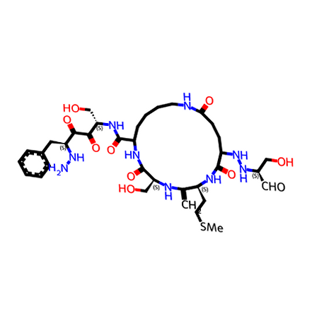 C=C1N[C@@H](CO)C(=O)NC(C(=O)N[C@@H](CO)C(=O)C(=O)[C@H](Cc2ccccc2)NN)CCCCNC(=O)CCC(NN[C@H](C=O)CO)C(=O)N[C@H]1CCSC